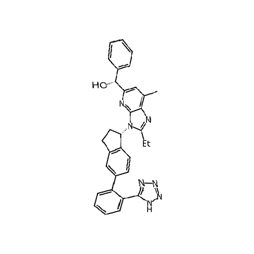 CCc1nc2c(C)cc([C@H](O)c3ccccc3)nc2n1[C@H]1CCc2cc(-c3ccccc3-c3nnn[nH]3)ccc21